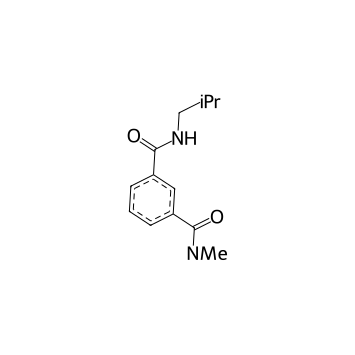 CNC(=O)c1cccc(C(=O)NCC(C)C)c1